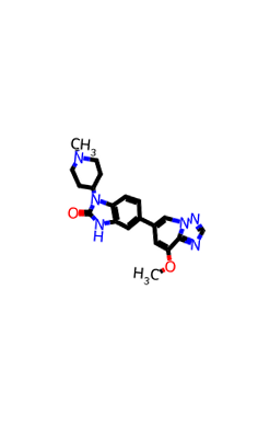 COc1cc(-c2ccc3c(c2)[nH]c(=O)n3C2CCN(C)CC2)cn2ncnc12